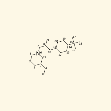 CCC1CCCN(CC(C)CC2CCC(C(C)(C)C)CC2)C1